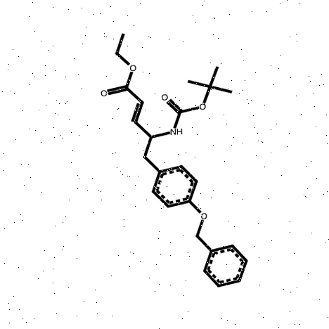 CCOC(=O)C=CC(Cc1ccc(OCc2ccccc2)cc1)NC(=O)OC(C)(C)C